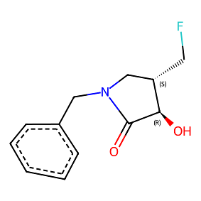 O=C1[C@H](O)[C@@H](CF)CN1Cc1ccccc1